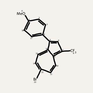 COc1ccc(-c2cc(C(F)(F)F)c3ccc(Br)ccc2-3)cc1